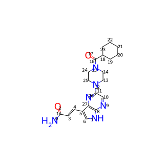 NC(=O)/C=C/c1c[nH]c2ncc(N3CCN(C(=O)C4CCCCC4)CC3)nc12